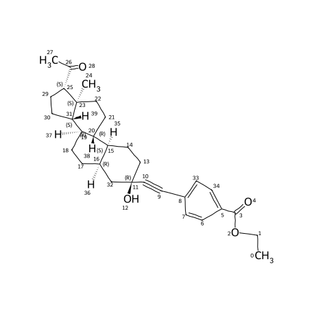 CCOC(=O)c1ccc(C#C[C@@]2(O)CC[C@H]3[C@H](CC[C@@H]4[C@@H]3CC[C@]3(C)[C@@H](C(C)=O)CC[C@@H]43)C2)cc1